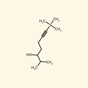 CC(C)C(O)CCC#C[Si](C)(C)C